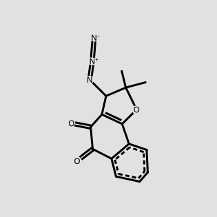 CC1(C)OC2=C(C(=O)C(=O)c3ccccc32)C1N=[N+]=[N-]